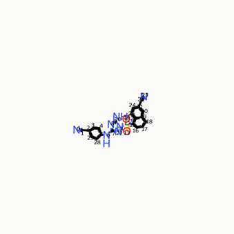 N#Cc1ccc(Nc2nc(N)n(S(=O)(=O)c3cccc4cc(C#N)ccc34)n2)cc1